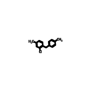 Cc1ccc(Cc2ccc(C)cc2Cl)cc1